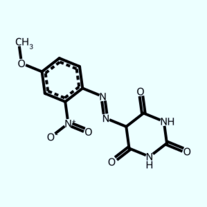 COc1ccc(/N=N/C2C(=O)NC(=O)NC2=O)c([N+](=O)[O-])c1